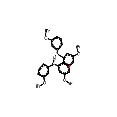 CC(C)Oc1cccc(P([N]P(c2cccc(OC(C)C)c2)c2cccc(OC(C)C)c2)c2cccc(OC(C)C)c2)c1